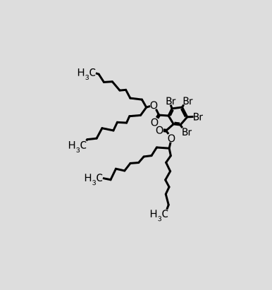 CCCCCCCCCC(CCCCCCCC)OC(=O)c1c(Br)c(Br)c(Br)c(Br)c1C(=O)OC(CCCCCCCC)CCCCCCCCC